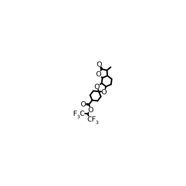 CC1C(=O)OC2C1CCC1OC3(CCC(C(=O)OC(C(F)(F)F)C(F)(F)F)CC3)OC12